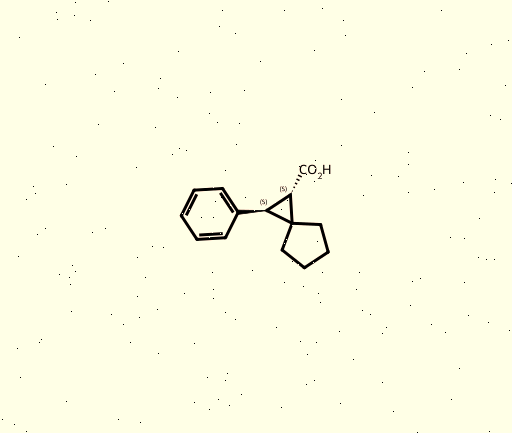 O=C(O)[C@H]1[C@H](c2ccccc2)C12CCCC2